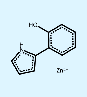 Oc1ccccc1-c1ccc[nH]1.[Zn+2]